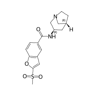 CS(=O)(=O)c1cc2cc(C(=O)N[C@@H]3C[C@H]4CCN(C4)C3)ccc2o1